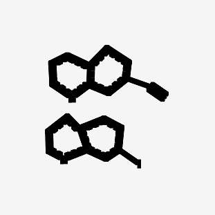 C#Cc1ccc2cccnc2c1.Ic1ccc2cccnc2c1